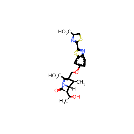 C[C@@H](O)[C@H]1C(=O)N2C(C(=O)O)=C(COc3ccc4nc(C5=NC(C(=O)O)CS5)sc4c3)[C@H](C)[C@H]12